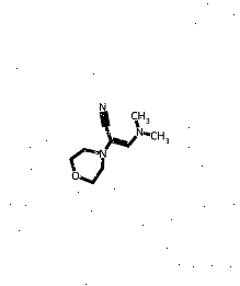 CN(C)C=C(C#N)N1CCOCC1